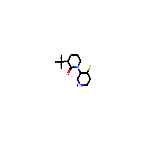 CC(C)(C)C1CCCN(C2CNCCC2F)C1=O